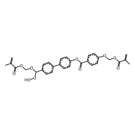 C=C(C)C(=O)OCOc1ccc(C(=O)Oc2ccc(-c3ccc(C(OO)OCOC(=O)C(=C)C)cc3)cc2)cc1